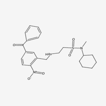 CN(C1CCCCC1)S(=O)(=O)CC[AsH]Cc1cc(C(=O)c2ccccc2)ccc1[N+](=O)[O-]